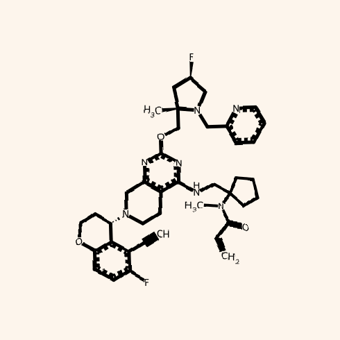 C#Cc1c(F)ccc2c1[C@@H](N1CCc3c(nc(OC[C@]4(C)C[C@@H](F)CN4Cc4ccccn4)nc3NCC3(N(C)C(=O)C=C)CCCC3)C1)CCO2